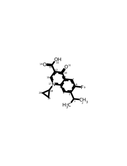 CC(C)c1cc2c(cc1F)c(=O)c(C(=O)O)cn2C1CC1